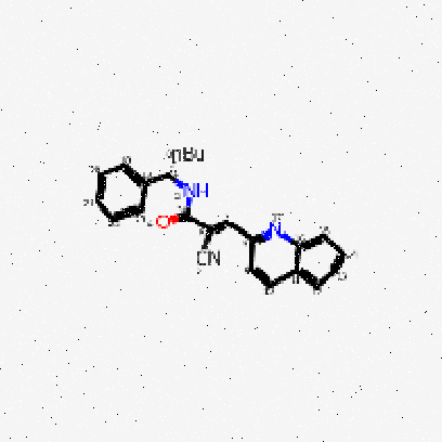 CCCC[C@H](NC(=O)/C(C#N)=C/c1ccc2ccccc2n1)c1ccccc1